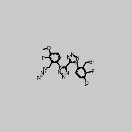 COc1ccc(-n2nnnc2-c2nnnn2-c2ccc(OC)c(F)c2CN=[N+]=[N-])c(CBr)c1F